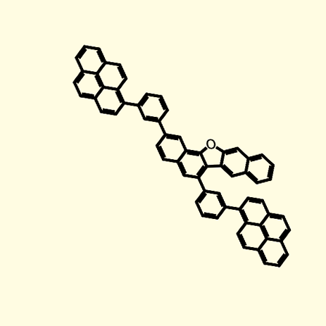 c1cc(-c2ccc3cc(-c4cccc(-c5ccc6ccc7cccc8ccc5c6c78)c4)c4c5cc6ccccc6cc5oc4c3c2)cc(-c2ccc3ccc4cccc5ccc2c3c45)c1